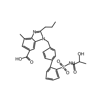 CCCc1nc2c(C)cc(C(=O)O)cc2n1Cc1ccc(-c2ccccc2S(=O)(=O)NC(=O)C(C)O)cc1